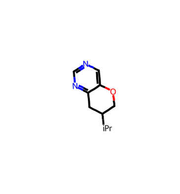 CC(C)C1COc2cncnc2C1